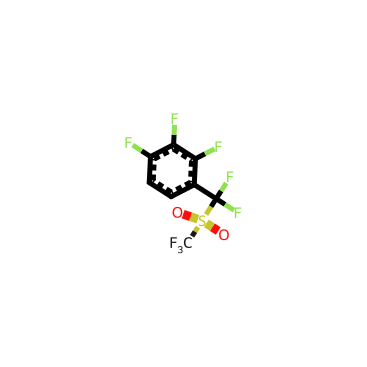 O=S(=O)(C(F)(F)F)C(F)(F)c1ccc(F)c(F)c1F